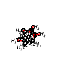 Cc1ccc2c(c1)c1cc(C)ccc1n2-c1c(-c2cc(C)nc(C)c2)c(-n2c3ccc(C)cc3c3cc(C)ccc32)c(-n2c3ccc(C)cc3c3cc(C)ccc32)c(-n2c3ccc(C)cc3c3cc(C)ccc32)c1-c1cc(-c2ccccc2)nc(-c2ccccc2)c1